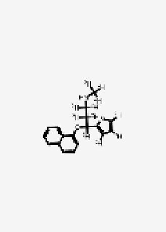 [2H]c1sc(C([2H])(Oc2cccc3ccccc23)C([2H])([2H])C([2H])([2H])NC([2H])([2H])[2H])c([2H])c1[2H]